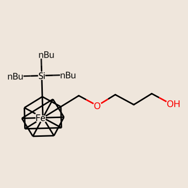 CCCC[Si](CCCC)(CCCC)[C]12[CH]3[CH]4[CH]5[C]1(COCCCO)[Fe]45321678[CH]2[CH]1[CH]6[CH]7[CH]28